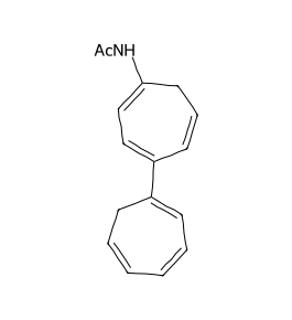 CC(=O)NC1=CC=C(C2=CC=CC=CC2)C=CC1